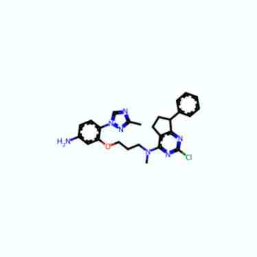 Cc1ncn(-c2ccc(N)cc2OCCCN(C)c2nc(Cl)nc3c2CCC3c2ccccc2)n1